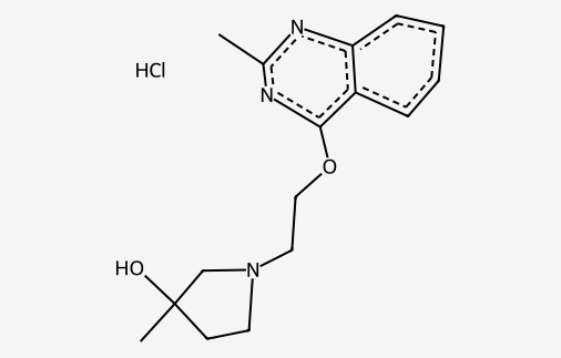 Cc1nc(OCCN2CCC(C)(O)C2)c2ccccc2n1.Cl